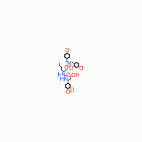 CCCCC(COC(=O)N(Cc1ccc(OC)cc1)Cc1ccc(OC)cc1)NC(=O)NC(CCO)c1ccc2c(c1)OCO2